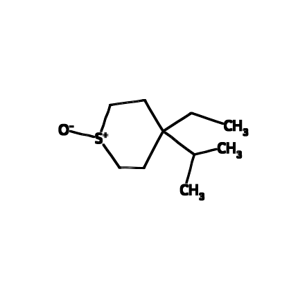 CCC1(C(C)C)CC[S+]([O-])CC1